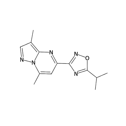 Cc1cnn2c(C)cc(-c3noc(C(C)C)n3)nc12